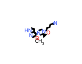 COc1cnc2[nH]ccc2c1N1CCN(C(=O)CCCC#N)C2(CC2)C1